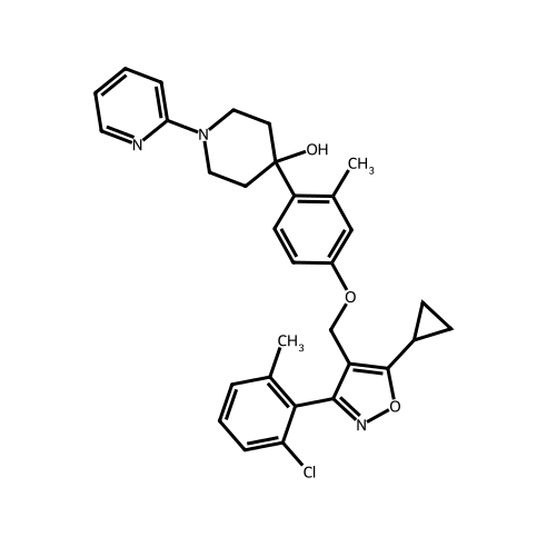 Cc1cc(OCc2c(-c3c(C)cccc3Cl)noc2C2CC2)ccc1C1(O)CCN(c2ccccn2)CC1